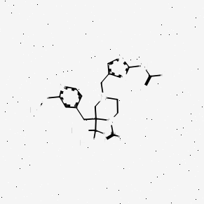 COc1cc(CC2(C(C)(C)C)CN(Cc3cnc(NC(C)=O)s3)CCN2C(=O)O)ccn1